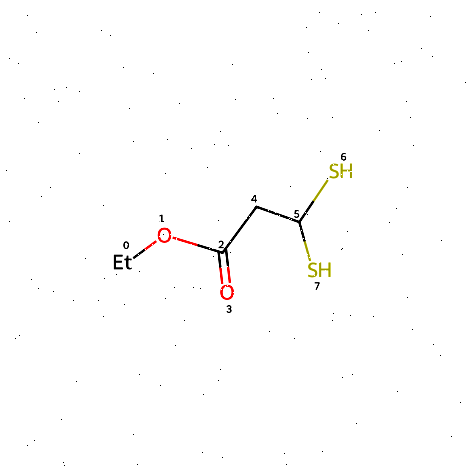 CCOC(=O)CC(S)S